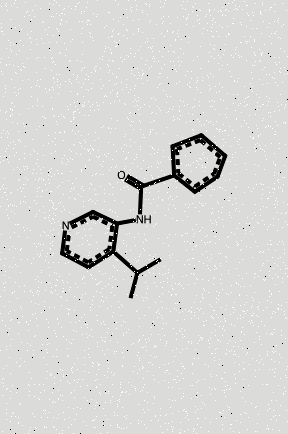 CC(C)c1ccncc1NC(=O)c1ccccc1